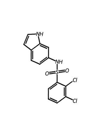 O=S(=O)(Nc1ccc2cc[nH]c2c1)c1cccc(Cl)c1Cl